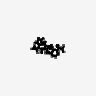 Cc1nc(C(Nc2c(Nc3ccnc(C(=O)N(C)C)c3O)c(=O)c2=O)C2(C)CC2)c(C)s1